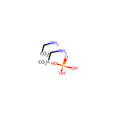 NCC(=O)O.NCC(=O)O.O=P(O)(O)O